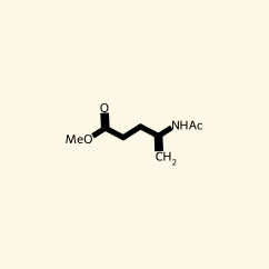 C=C(CCC(=O)OC)NC(C)=O